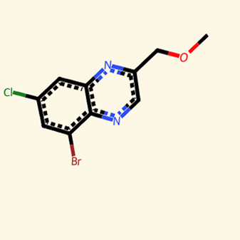 COCc1cnc2c(Br)cc(Cl)cc2n1